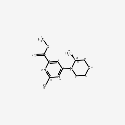 COC(=O)c1cc(N2CCOC[C@@H]2C)nc(Cl)n1